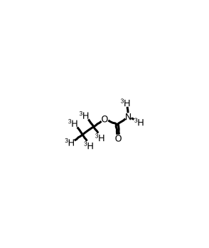 [3H]N([3H])C(=O)OC([3H])([3H])C([3H])([3H])[3H]